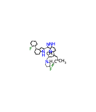 C=C(C)/C=C(\C=C(/C)CN1CCC(F)(F)C1)c1ccc2[nH]nc(-c3cc4c(-c5ccccc5F)cccc4[nH]3)c2n1